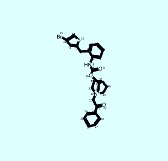 O=C(Nc1ccccc1Cc1cc(Br)cs1)OC1C[N+]2(CC(=O)c3ccccc3)CCC1CC2